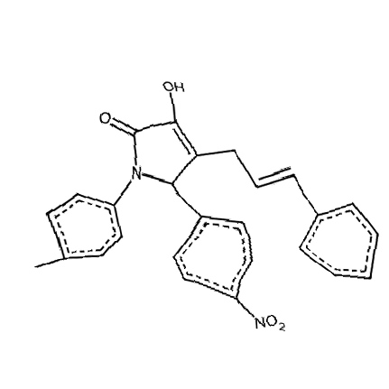 Cc1ccc(N2C(=O)C(O)=C(CC=Cc3ccccc3)C2c2ccc([N+](=O)[O-])cc2)cc1